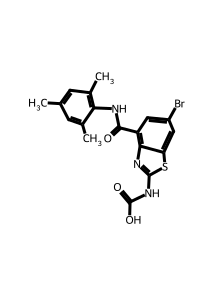 Cc1cc(C)c(NC(=O)c2cc(Br)cc3sc(NC(=O)O)nc23)c(C)c1